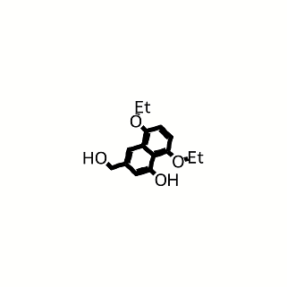 CCOc1ccc(OCC)c2c(O)cc(CO)cc12